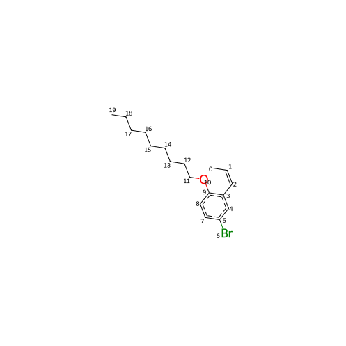 C/C=C\c1cc(Br)ccc1OCCCCCCCCC